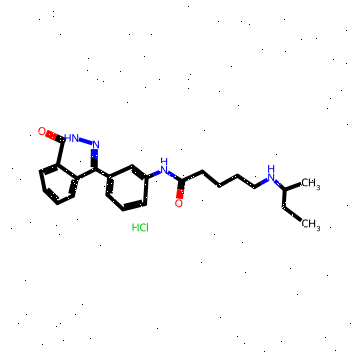 CCC(C)NCCCCC(=O)Nc1cccc(-c2n[nH]c(=O)c3ccccc23)c1.Cl